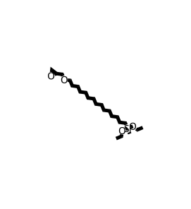 CCO[Si](C)(CCCCCCCCCCCCCCCOCC1CO1)OCC